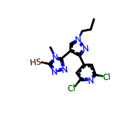 CCCn1cc(-c2nnc(S)n2C)c(-c2cc(Cl)nc(Cl)c2)n1